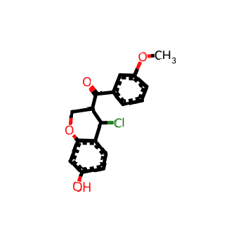 COc1cccc(C(=O)C2COc3cc(O)ccc3C2Cl)c1